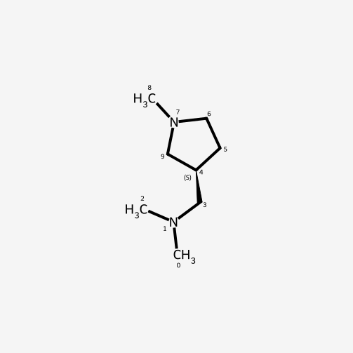 CN(C)C[C@@H]1CCN(C)C1